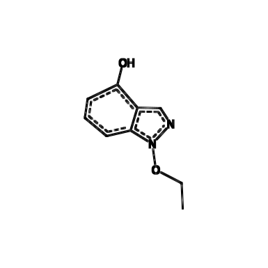 CCOn1ncc2c(O)cccc21